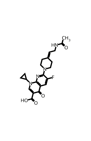 CC(=O)NCC=C1CCN(c2nc3c(cc2F)c(=O)c(C(=O)O)cn3C2CC2)CC1